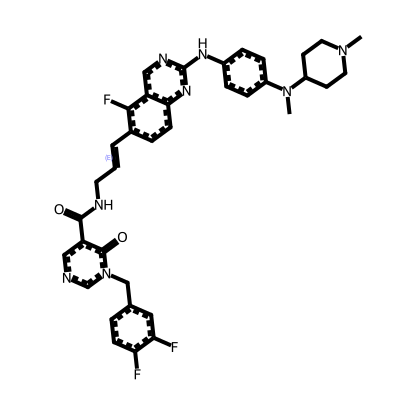 CN1CCC(N(C)c2ccc(Nc3ncc4c(F)c(/C=C/CNC(=O)c5cncn(Cc6ccc(F)c(F)c6)c5=O)ccc4n3)cc2)CC1